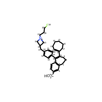 O=C(O)c1ccc2c(c1)CCCC(C1=CCCCCC1)=C2c1ccc(CC2CN(CCCF)C2)cc1